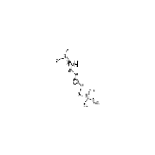 CC(C)NCCOCCC(C)(C)I